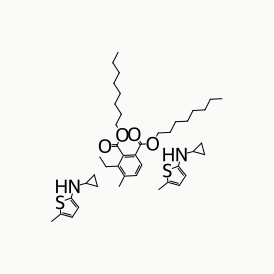 CCCCCCCCOC(=O)c1ccc(C)c(CC)c1C(=O)OCCCCCCCC.Cc1ccc(NC2CC2)s1.Cc1ccc(NC2CC2)s1